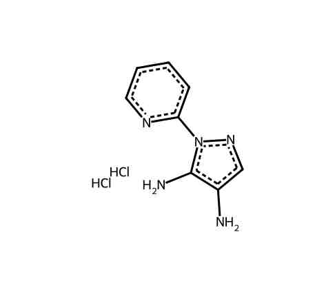 Cl.Cl.Nc1cnn(-c2ccccn2)c1N